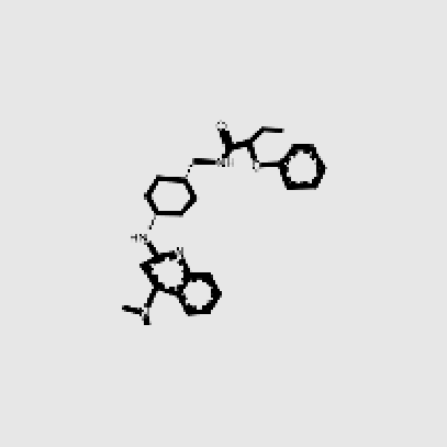 CCC(Oc1ccccc1)C(=O)NC[C@H]1CC[C@@H](Nc2cc(N(C)C)c3ccccc3n2)CC1